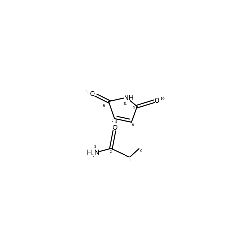 CCC(N)=O.O=C1C=CC(=O)N1